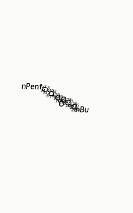 CCCCCC1CCC(c2ccc(-c3ccc(C(=O)OC4CCC(c5ccc(CCCC)cc5)CC4)cc3)cc2)CC1